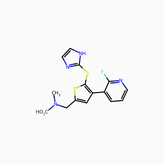 CN(Cc1cc(-c2cccnc2F)c(Sc2ncc[nH]2)s1)C(=O)O